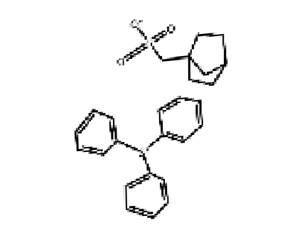 O=S(=O)([O-])CC12CCC(CC1)C2.c1ccc([S+](c2ccccc2)c2ccccc2)cc1